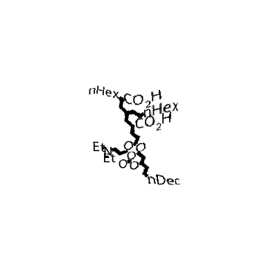 CCCCCCCCCCCCC(CCOC(=O)CCCCC(CC(CCCCCC)C(=O)O)CC(CCCCCC)C(=O)O)OC(=O)OCCCN(CC)CC